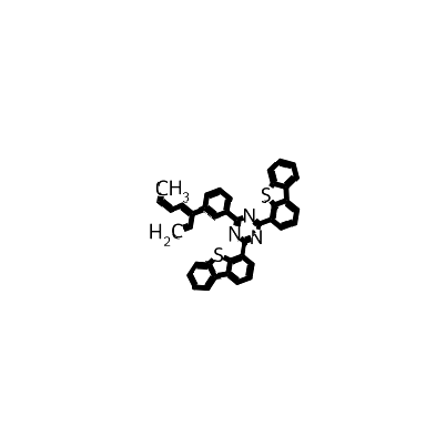 C=C/C(=C\C=C/C)c1cccc(-c2nc(-c3cccc4c3sc3ccccc34)nc(-c3cccc4c3sc3ccccc34)n2)c1